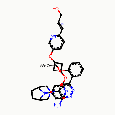 COCOc1ccccc1-c1cc(N2CC3CCC(C2)N3c2ccnc(OC3CC(Oc4ccc(/C=C/CO)nc4)C3)c2)c(N)nn1